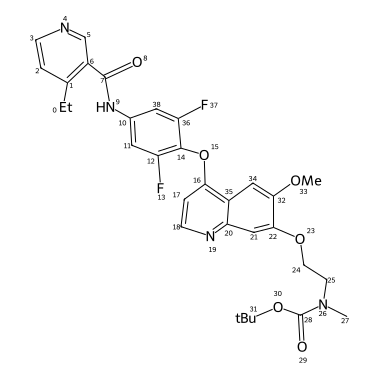 CCc1ccncc1C(=O)Nc1cc(F)c(Oc2ccnc3cc(OCCN(C)C(=O)OC(C)(C)C)c(OC)cc23)c(F)c1